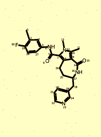 Cc1cc(NC(=O)c2c3c(c(C)n2C)C(=O)NC(Cc2cccnc2)CC3)ccc1F